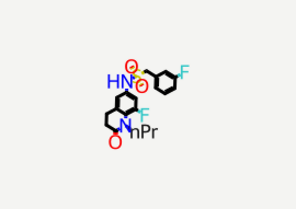 CCCN1C(=O)CCc2cc(NS(=O)(=O)Cc3cccc(F)c3)cc(F)c21